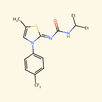 CCC(CC)NC(=O)/N=c1\sc(C)cn1-c1ccc(C(F)(F)F)cc1